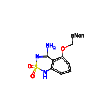 CCCCCCCCCCOc1cccc2c1C(N)=NS(=O)(=O)N2